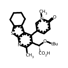 Cc1nc2sc3c(c2c(-c2ccc(=O)n(C)c2)c1[C@H](OC(C)(C)C)C(=O)O)CCCC3